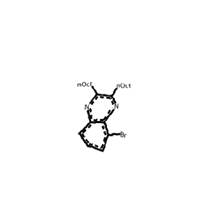 CCCCCCCCc1nc2cccc(Br)c2nc1CCCCCCCC